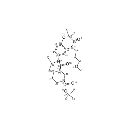 COCCCN1C(=O)C(C)(C)Oc2ccc(N(C(=O)[C@@H]3CCCN(C(=O)OC(C)(C)C)C3)C(C)C)cc21